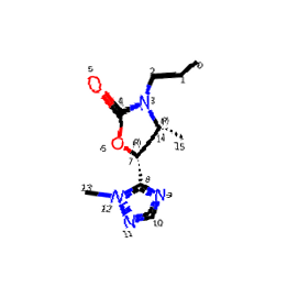 CCCN1C(=O)O[C@@H](c2ncnn2C)[C@H]1C